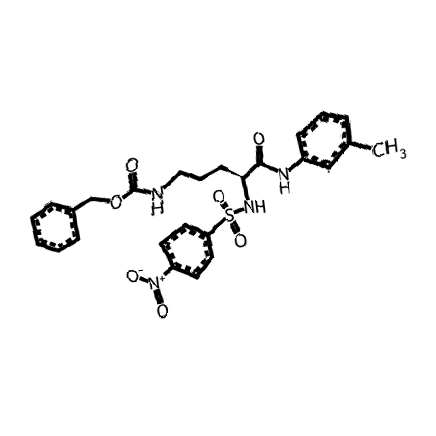 Cc1[c]c(NC(=O)[C@H](CCCNC(=O)OCc2ccccc2)NS(=O)(=O)c2ccc([N+](=O)[O-])cc2)ccc1